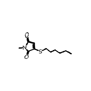 CCCCCCSC1=CC(=O)N(C)C1=O